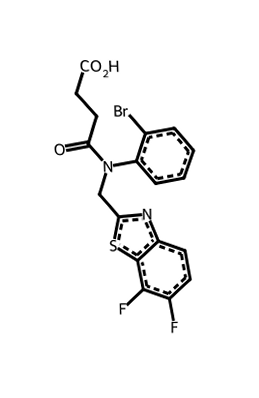 O=C(O)CCC(=O)N(Cc1nc2ccc(F)c(F)c2s1)c1ccccc1Br